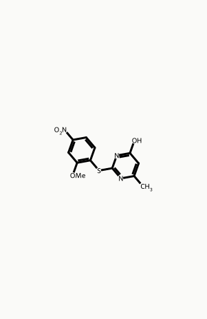 COc1cc([N+](=O)[O-])ccc1Sc1nc(C)cc(O)n1